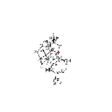 C=C1CC[C@H]2[C@@]3(CNC(=O)C(F)(F)F)C[C@]3([C@@]3(C)CC[C@H](O)C[C@@H]3CO)CC[C@]12C